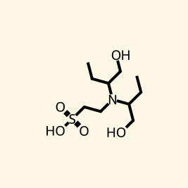 CCC(CO)N(CCS(=O)(=O)O)C(CC)CO